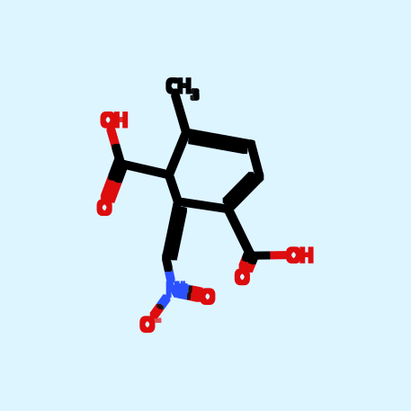 CC1=CC=C(C(=O)O)C(=C[N+](=O)[O-])C1C(=O)O